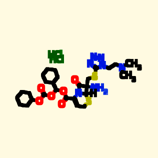 CN(C)CCn1nnnc1SC[C@@]1(N)C(=O)N2C(C(=O)OC(OC(=O)OC3CCCCC3)C3CCCCC3)=CCS[C@H]21.Cl.Cl